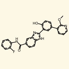 COc1ncccc1-c1ccc(O)c(-c2nc3cc(C(=O)Nc4ccccc4F)ccc3[nH]2)c1